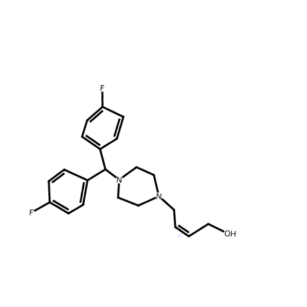 OC/C=C\CN1CCN(C(c2ccc(F)cc2)c2ccc(F)cc2)CC1